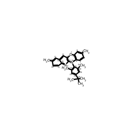 Cc1ccc2c(c1)Oc1cc3cc(C)ccc3nc1N2c1c(C)cc(C(C)(C)C)cc1C